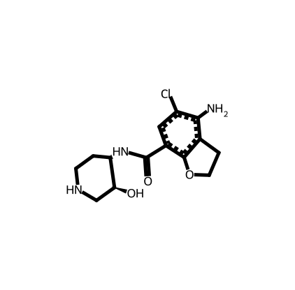 Nc1c(Cl)cc(C(=O)N[C@@H]2CCNC[C@@H]2O)c2c1CCO2